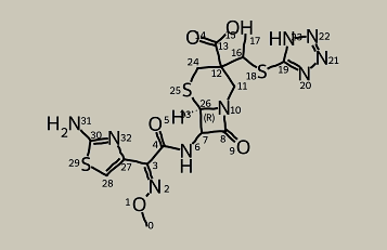 CON=C(C(=O)NC1C(=O)N2CC(C(=O)O)(C(C)Sc3nnn[nH]3)CS[C@H]12)c1csc(N)n1